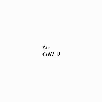 [Au].[Cu].[U].[W]